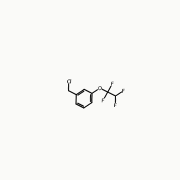 FC(F)C(F)(F)Oc1cccc(CCl)c1